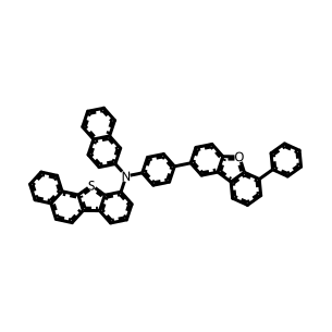 c1ccc(-c2cccc3c2oc2ccc(-c4ccc(N(c5ccc6ccccc6c5)c5cccc6c5sc5c7ccccc7ccc65)cc4)cc23)cc1